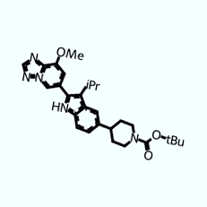 COc1cc(-c2[nH]c3ccc(C4CCN(C(=O)OC(C)(C)C)CC4)cc3c2C(C)C)cn2ncnc12